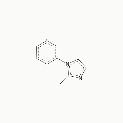 Cc1nccn1-c1c[c]ccc1